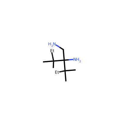 CCC(C)(C)C(N)(CN)C(C)(C)CC